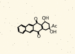 CC(=O)[C@]1(O)CC2=C(C(=O)c3cc4ccccc4cc3C2=O)[C@H](O)C1